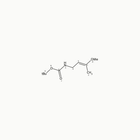 CO/C(C)=C/CNC(=O)OC(C)(C)C